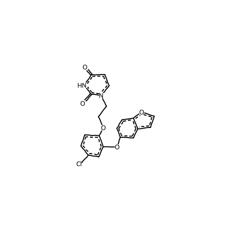 O=c1ccn(CCOc2ccc(Cl)cc2Oc2ccc3occc3c2)c(=O)[nH]1